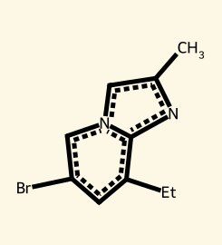 CCc1cc(Br)cn2cc(C)nc12